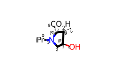 CC(C)N1C[C@H](O)[C@@H](C)[C@H]1C(=O)O